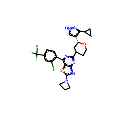 Fc1cc(C(F)(F)F)ccc1-c1nc(C2CCO[C@@H](c3c[nH]nc3C3CC3)C2)nc2nc(N3CCC3)sc12